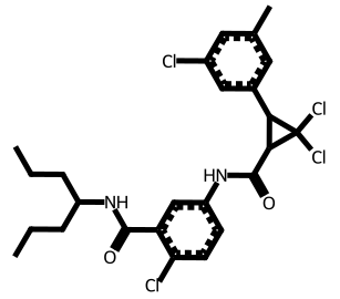 CCCC(CCC)NC(=O)c1cc(NC(=O)C2C(c3cc(C)cc(Cl)c3)C2(Cl)Cl)ccc1Cl